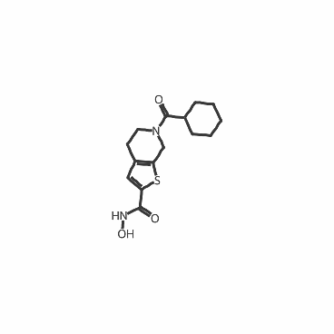 O=C(NO)c1cc2c(s1)CN(C(=O)C1CCCCC1)CC2